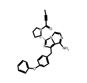 CC#CC(=O)N1CCC[C@H]1c1nc(Cc2ccc(Oc3ccccc3)cc2)c2c(N)nccn12